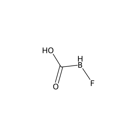 O=C(O)BF